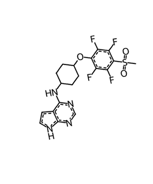 CS(=O)(=O)c1c(F)c(F)c(OC2CCC(Nc3ncnc4[nH]ccc34)CC2)c(F)c1F